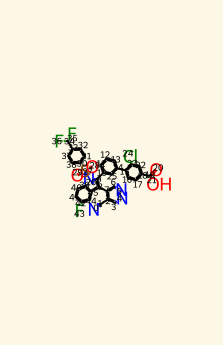 N#Cc1cnncc1-c1c(-c2cccc(-c3ccc(C(=O)O)cc3Cl)c2)n(S(=O)(=O)c2ccc(C(F)F)cc2)c2ccc(F)cc12